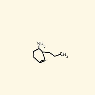 CCCC1C=CCCC1N